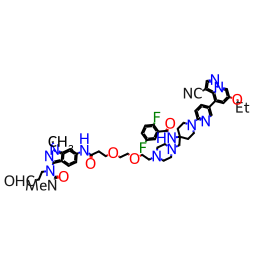 CCOc1cc(-c2ccc(N3CCC(CN4CCN(CCOCCOCCC(=O)Nc5ccc6c(N(CCC=O)C(=O)NC)nn(C)c6c5)CC4)(NC(=O)c4cc(F)ccc4F)CC3)nc2)c2c(C#N)cnn2c1